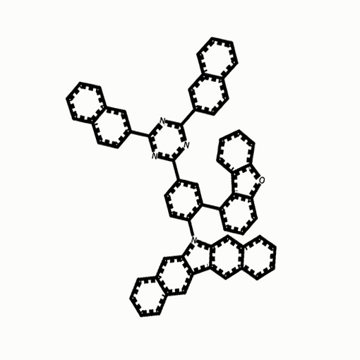 c1ccc2cc(-c3nc(-c4ccc(-n5c6cc7ccccc7cc6c6cc7ccccc7cc65)c(-c5cccc6oc7ccccc7c56)c4)nc(-c4ccc5ccccc5c4)n3)ccc2c1